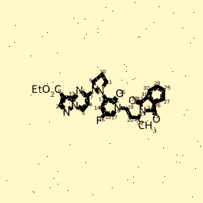 CCOC(=O)c1cnn2ccc(N3CCCN3c3cc(F)cn(CC[C@@H](C)N4C(=O)c5ccccc5C4=O)c3=O)nc12